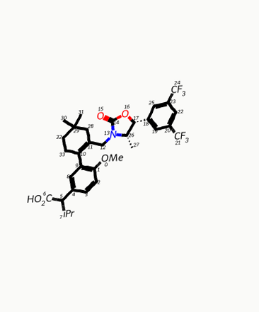 COc1ccc(C(C(=O)O)C(C)C)cc1C1=C(CN2C(=O)O[C@H](c3cc(C(F)(F)F)cc(C(F)(F)F)c3)[C@@H]2C)CC(C)(C)CC1